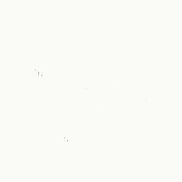 N#CC(C#N)=C1OC(=O)c2ccccc21